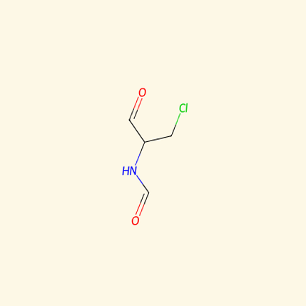 O=CNC(C=O)CCl